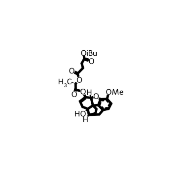 COc1ccc2c3c1O[C@H]1C(OC(=O)[C@H](C)OC(=O)CCC(=O)OCC(C)C)=CC[C@@]4(O)[C@H](CCCC314)C2